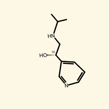 CC(C)NC[C@@H](O)c1cccnc1